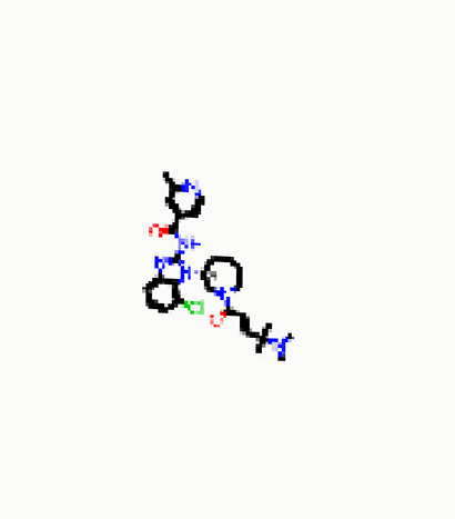 Cc1cc(C(=O)Nc2nc3cccc(Cl)c3n2[C@@H]2CCCCN(C(=O)C=CC(C)(C)N(C)C)C2)ccn1